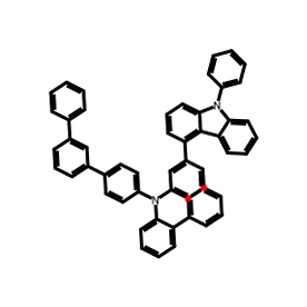 c1ccc(-c2cccc(-c3ccc(N(c4cccc(-c5cccc6c5c5ccccc5n6-c5ccccc5)c4)c4ccccc4-c4ccccc4)cc3)c2)cc1